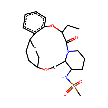 CCC1Oc2ccccc2C2CCC(CC2)OCC2C(NS(C)(=O)=O)CCCN2C1=O